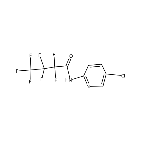 O=C(Nc1ccc(Cl)cn1)C(F)(F)C(F)(F)C(F)(F)F